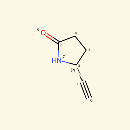 C#C[C@H]1CCC(=O)N1